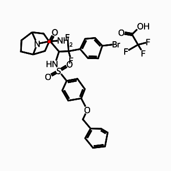 NC1CC2CCC(C1)N2C(=O)C(NS(=O)(=O)c1ccc(OCc2ccccc2)cc1)C(F)(F)c1ccc(Br)cc1.O=C(O)C(F)(F)F